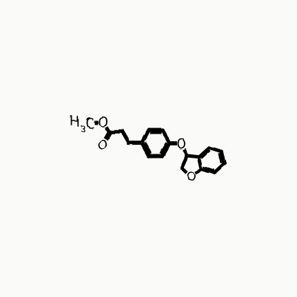 COC(=O)CCc1ccc(OC2COc3ccccc32)cc1